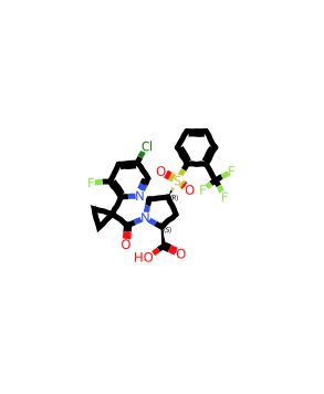 O=C(O)[C@@H]1C[C@@H](S(=O)(=O)c2ccccc2C(F)(F)F)CN1C(=O)C1(c2ncc(Cl)cc2F)CC1